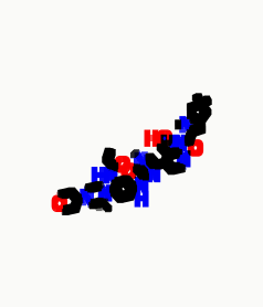 C=CC(=O)Nc1cc(Nc2nc(-c3ccnc(NC(=O)c4cc5c(n4C)CC(C)(C)C5)c3CO)cn(C)c2=O)ccc1N1CCN(C2CCOCC2)C[C@@H]1C